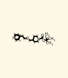 CC(C)(C)OC(=O)N1CCC(COCCc2ccncc2)CC1